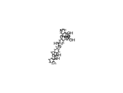 COc1cc(CC(=O)Nc2ccc(C(CC(=O)O)NC(=O)c3cnccc3C(=O)O)cc2)ccc1NC(=O)Nc1ccccc1C